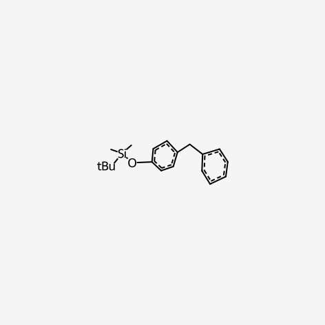 CC(C)(C)[Si](C)(C)Oc1ccc(Cc2ccccc2)cc1